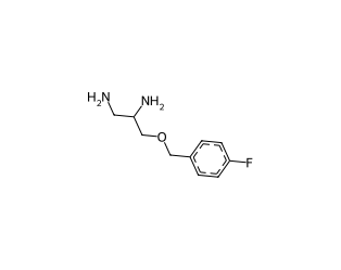 NCC(N)COCc1ccc(F)cc1